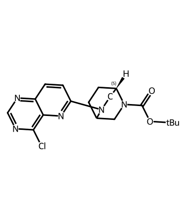 CC(C)(C)OC(=O)N1CC2CC[C@H]1CN2c1ccc2ncnc(Cl)c2n1